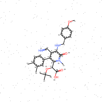 COc1ccc(CNc2c(C=N)c(-c3ccc(C)c(C)c3)c(C(OC(C)(C)C)C(=O)O)n(C)c2=O)cc1